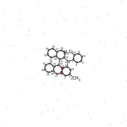 Cc1cccc(N(c2ccccc2C)c2ccc3ccccc3c2-c2cccc3ccccc23)c1